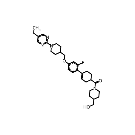 CCc1cnc(N2CCC(COc3ccc(C4=CCC(C(=O)N5CCC(CO)CC5)CC4)c(F)c3)CC2)nc1